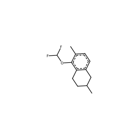 Cc1ccc2c(c1OC(F)F)CCC(C)C2